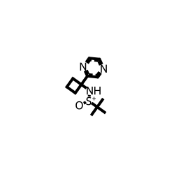 CC(C)(C)[S+]([O-])NC1(c2cnccn2)CCC1